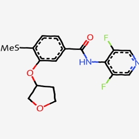 CSc1ccc(C(=O)Nc2c(F)cncc2F)cc1OC1CCOC1